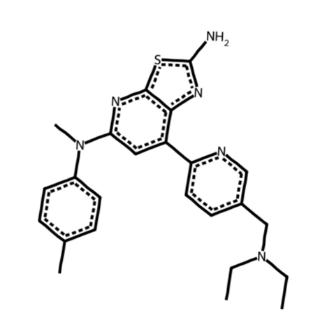 CCN(CC)Cc1ccc(-c2cc(N(C)c3ccc(C)cc3)nc3sc(N)nc23)nc1